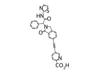 O=C(O)c1ccc(C#Cc2ccc3c(c2)C(=O)N(C(C(=O)Nc2nccs2)c2ccccc2)C3)cn1